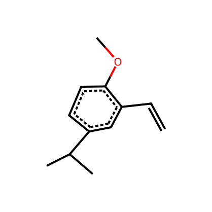 C=Cc1cc(C(C)C)ccc1OC